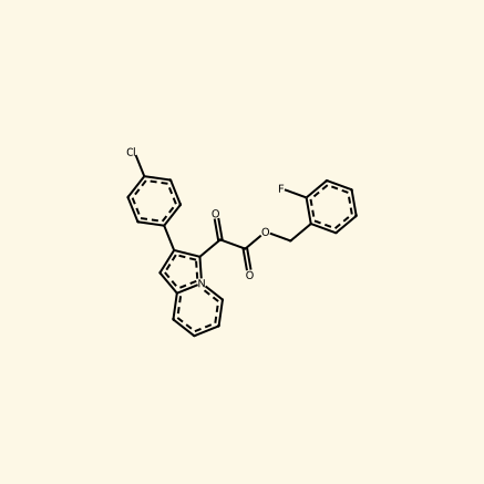 O=C(OCc1ccccc1F)C(=O)c1c(-c2ccc(Cl)cc2)cc2ccccn12